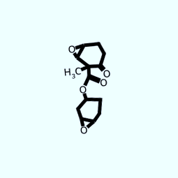 CC1(C(=O)OC2CCC3OC3C2)C(=O)CCC2OC21